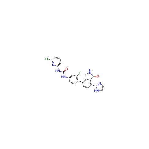 O=C(Nc1ccc(-c2ccc(-c3ncc[nH]3)c3c2CNC3=O)c(F)c1)Nc1cccc(Cl)n1